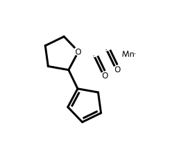 C1=CCC(C2CCCO2)=C1.[C]=O.[C]=O.[Mn]